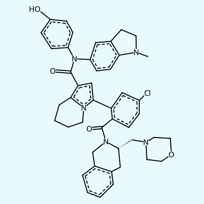 CN1CCc2cc(N(C(=O)c3cc(-c4cc(Cl)ccc4C(=O)N4Cc5ccccc5C[C@H]4CN4CCOCC4)n4c3CCCC4)c3ccc(O)cc3)ccc21